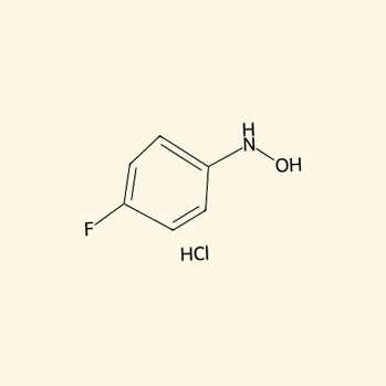 Cl.ONc1ccc(F)cc1